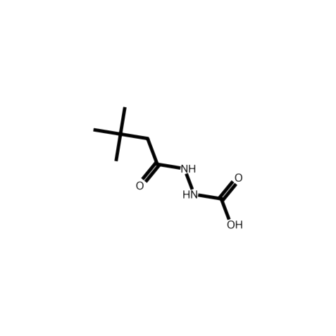 CC(C)(C)CC(=O)NNC(=O)O